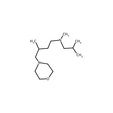 CC(C)CN(C)CCC(C)CN1CCOCC1